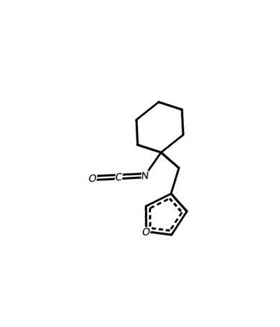 O=C=NC1(Cc2ccoc2)CCCCC1